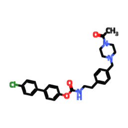 CC(=O)N1CCN(Cc2ccc(CCNC(=O)Oc3ccc(-c4ccc(Cl)cc4)cc3)cc2)CC1